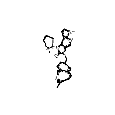 Cc1ccc2cc(Cn3c(=O)n([C@H]4CCCC[C@H]4C)c4c5cc[nH]c5ncc43)ccc2n1